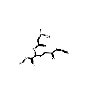 CC(C)OC(=O)[C@H](CCC(=O)C=[N+]=[N-])NC(=O)C[C@@H](C)O